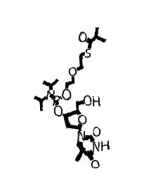 Cc1cn([C@H]2C[C@@H](OP(OCCOCCSC(=O)C(C)C)N(C(C)C)C(C)C)[C@@H](CO)O2)c(=O)[nH]c1=O